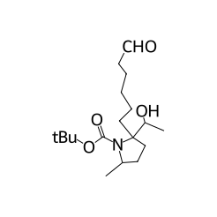 CC1CCC(CCCCCC=O)(C(C)O)N1C(=O)OC(C)(C)C